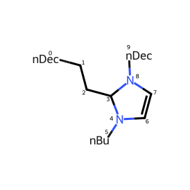 CCCCCCCCCCCCC1N(CCCC)C=CN1CCCCCCCCCC